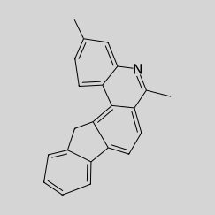 Cc1ccc2c(c1)nc(C)c1ccc3c(c12)Cc1ccccc1-3